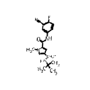 Cn1cc([S+]([O-])NC(C)(C)C)cc1C(=O)Nc1ccc(F)c(C#N)c1